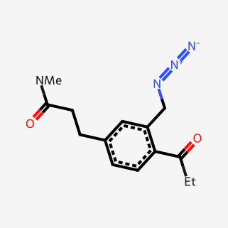 CCC(=O)c1ccc(CCC(=O)NC)cc1CN=[N+]=[N-]